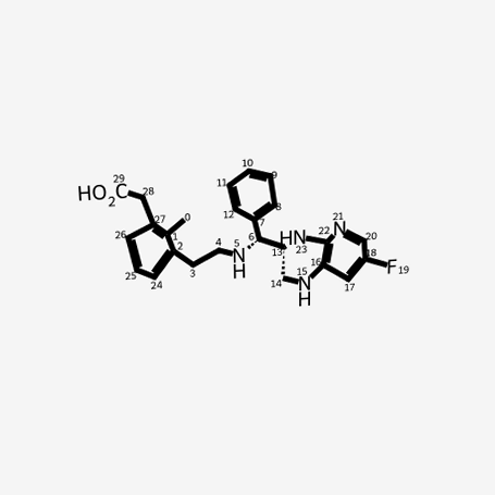 Cc1c(CCN[C@H](c2ccccc2)[C@H]2CNc3cc(F)cnc3N2)cccc1CC(=O)O